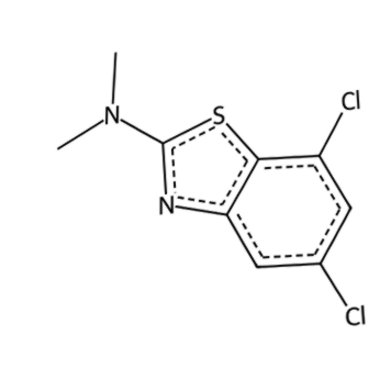 CN(C)c1nc2cc(Cl)cc(Cl)c2s1